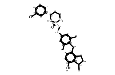 Cc1cc(OC[P@@]2(=O)OCC[C@@H](c3cccc(Cl)c3)O2)cc(C)c1Cc1ccc(O)c2c1CCC2C